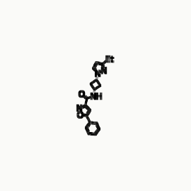 CCc1ccn([C@H]2C[C@@H](NC(=O)c3cc(-c4ccccc4)on3)C2)n1